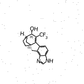 O[C@H]1C(C(F)(F)F)=C2c3ccc4[nH]cnc4c3C[C@@]23CC[C@@H]1C3